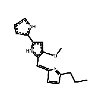 CCCC1=NC(=Cc2[nH]c(-c3ccc[nH]3)cc2OC)C=C1